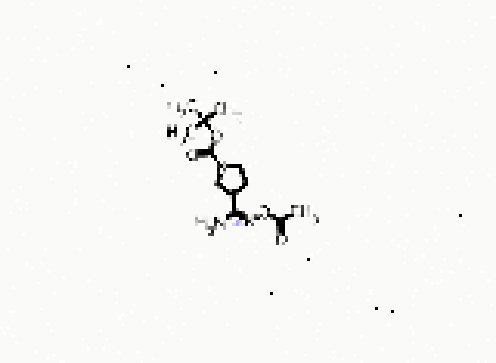 CC(=O)O/N=C(/N)C1CCN(C(=O)OC(C)(C)C)C1